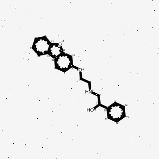 OC(CNCCOc1ccc2c(c1)oc1ccccc12)c1ccccc1